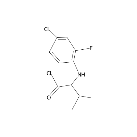 CC(C)C(Nc1ccc(Cl)cc1F)C(=O)Cl